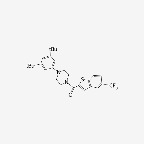 CC(C)(C)c1cc(N2CCN(C(=O)c3cc4cc(C(F)(F)F)ccc4s3)CC2)cc(C(C)(C)C)c1